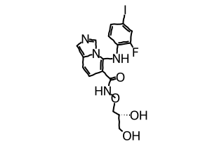 O=C(NOC[C@H](O)CO)c1ccc2cncn2c1Nc1ccc(I)cc1F